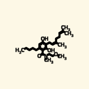 CCCCCc1cc(O)c(CC=C(C)CCC=C(C)C)c(O)c1C(=O)N(C)CCOC